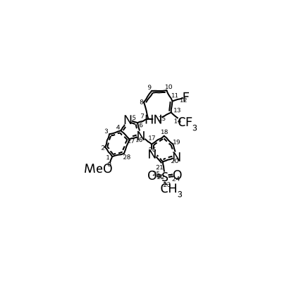 COc1ccc2nc(C3C=C=CC(F)=C(C(F)(F)F)N3)n(-c3ccnc(S(C)(=O)=O)n3)c2c1